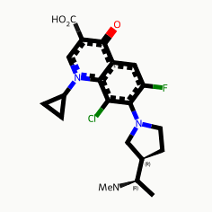 CN[C@H](C)[C@@H]1CCN(c2c(F)cc3c(=O)c(C(=O)O)cn(C4CC4)c3c2Cl)C1